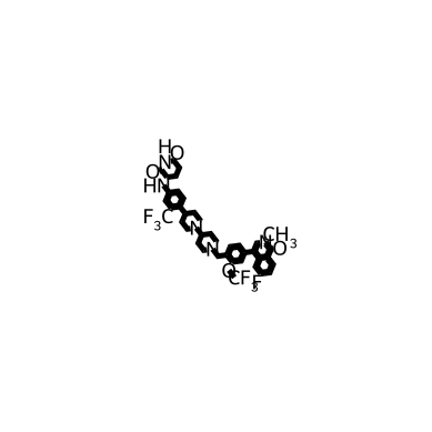 Cn1cc(-c2ccc(CN3CCC(N4CCC(c5ccc(NC6CCC(=O)NC6=O)cc5C(F)(F)F)CC4)CC3)c(OC(F)(F)F)c2)c2cc(F)ccc2c1=O